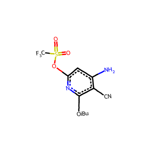 CC(C)COc1nc(OS(=O)(=O)C(F)(F)F)cc(N)c1C#N